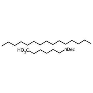 CCCCCCCCCCCCCCC.CCCCCCCCCCCCCCCC(=O)O